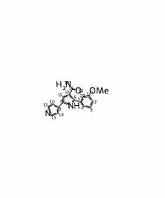 COc1cccc(-c2[nH]c(-c3ccncc3)cc2C(N)=O)c1